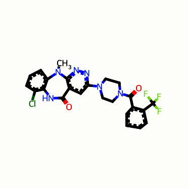 CN1c2cccc(Cl)c2NC(=O)c2cc(N3CCN(C(=O)c4ccccc4C(F)(F)F)CC3)nnc21